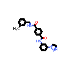 Cc1cccc(CNC(=O)c2ccc(C(=O)Nc3cccc(-n4ccnn4)c3)cc2)c1